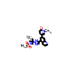 Cn1cc(-c2cc(-c3cnn(C4(CC#N)CN(S(C)(=O)=O)C4)n3)c3cccnc3c2)ccc1=O